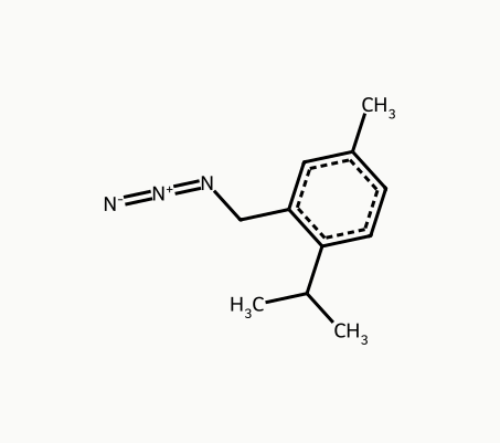 Cc1ccc(C(C)C)c(CN=[N+]=[N-])c1